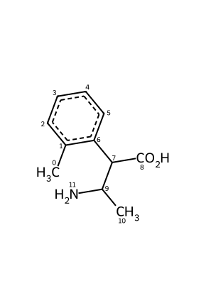 Cc1ccccc1C(C(=O)O)C(C)N